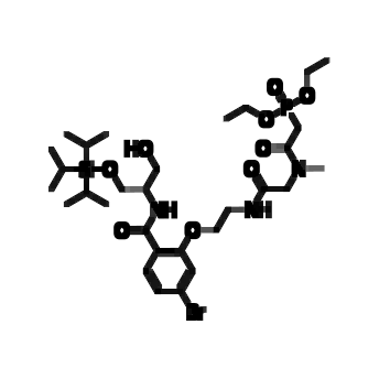 CCOP(=O)(CC(=O)N(C)CC(=O)NCCOc1cc(Br)ccc1C(=O)NC(CO)CO[Si](C(C)C)(C(C)C)C(C)C)OCC